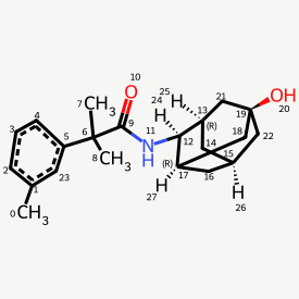 Cc1cccc(C(C)(C)C(=O)N[C@H]2[C@@H]3C[C@@H]4C[C@@H]2C[C@](O)(C3)C4)c1